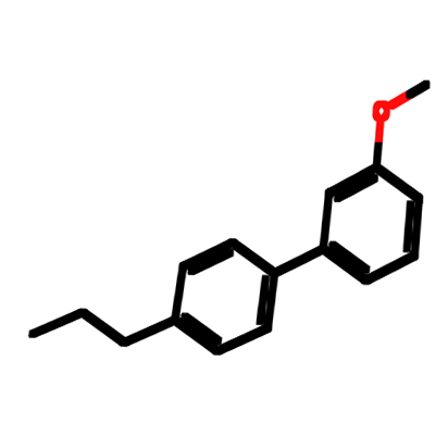 CCCc1ccc(-c2cccc(OC)c2)cc1